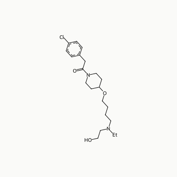 CCN(CCO)CCCCOC1CCN(C(=O)Cc2ccc(Cl)cc2)CC1